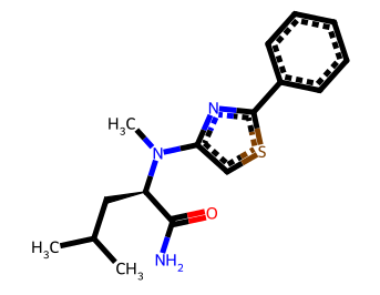 CC(C)C[C@H](C(N)=O)N(C)c1csc(-c2ccccc2)n1